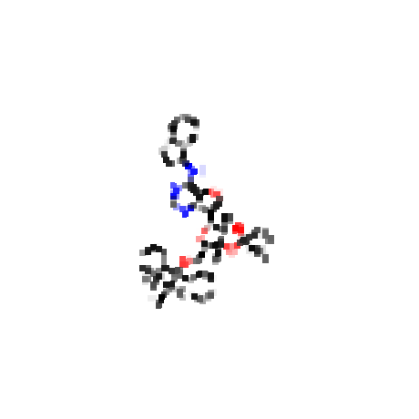 CC1(C)O[C@@H]2[C@H](O1)[C@@H](CO[Si](c1ccccc1)(c1ccccc1)C(C)(C)C)O[C@H]2c1coc2c(N[C@H]3CCc4ccccc43)ncnc12